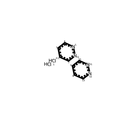 Cl.Cl.c1ccnnc1.c1ccnnc1